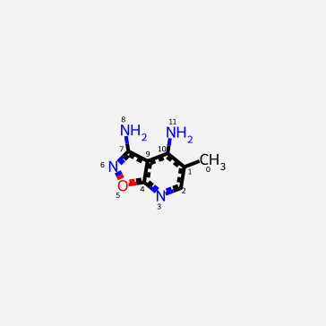 Cc1cnc2onc(N)c2c1N